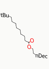 CCCCCCCCCCCCOC(=O)CCCCCCCCC(C)(C)C